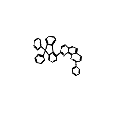 c1ccc(-c2ccc3ccc4ccc(-c5cccc6c5-c5ccccc5C6(c5ccccc5)c5cccnc5)nc4c3n2)cc1